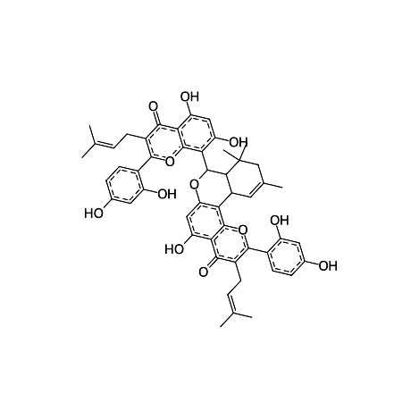 CC(C)=CCc1c(-c2ccc(O)cc2O)oc2c3c(cc(O)c2c1=O)OC(c1c(O)cc(O)c2c(=O)c(CC=C(C)C)c(-c4ccc(O)cc4O)oc12)C1C3C=C(C)CC1(C)C